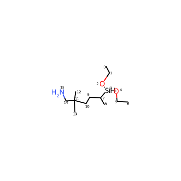 CCO[SiH](OCC)C(C)CCC(C)(C)CN